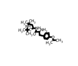 CC(C)Oc1ccc(C[C@H](N)C(=O)NC2CC(C)(C)NC(C)(C)C2)cc1